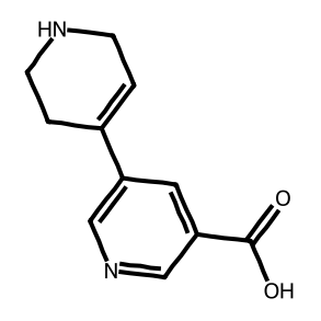 O=C(O)c1cncc(C2=CCNCC2)c1